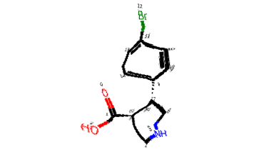 O=C(O)[C@@H]1CNC[C@H]1c1ccc(Br)cc1